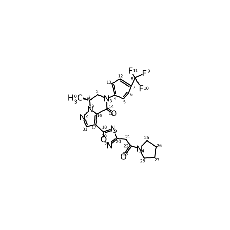 C[C@H]1CN(c2ccc(C(F)(F)F)cc2)C(=O)c2c(-c3nc(CC(=O)N4CCCC4)no3)cnn21